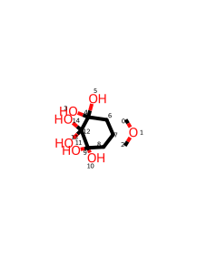 COC.OC1(O)CCCC(O)(O)C1(O)O